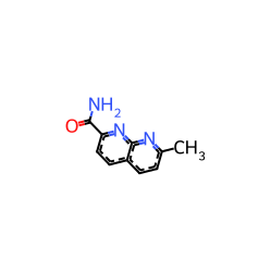 Cc1ccc2ccc(C(N)=O)nc2n1